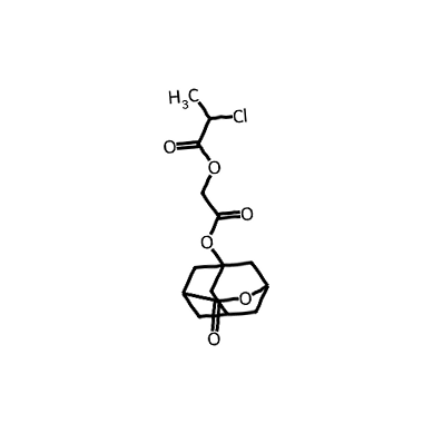 CC(Cl)C(=O)OCC(=O)OC12CC3CC(C1)OC(=O)C(C3)C2